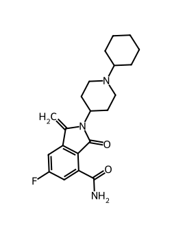 C=C1c2cc(F)cc(C(N)=O)c2C(=O)N1C1CCN(C2CCCCC2)CC1